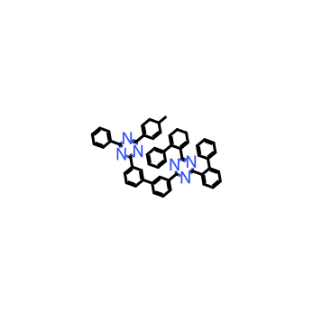 CC1C=CC(c2nc(-c3ccccc3)nc(-c3cccc(-c4cccc(C5N=C(c6ccccc6-c6ccccc6)N=C(C6=CCCC=C6c6ccccc6)N5C)c4)c3)n2)=CC1